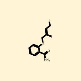 NC(=O)c1ccccc1OCC(I)=CCI